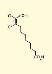 CCCCCCCC/C(Cl)=C(/Cl)CCCCCCCC(=O)O